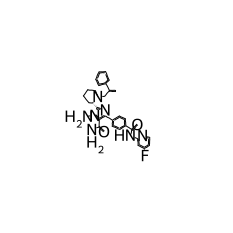 C=C(CN1CCCC[C@H]1c1nc(-c2ccc(C(=O)Nc3cc(F)ccn3)cc2)c(C(N)=O)n1N)c1ccccc1